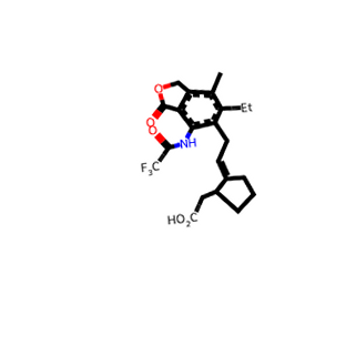 CCc1c(C)c2c(c(NC(=O)C(F)(F)F)c1C/C=C1\CCCC1CC(=O)O)C(=O)OC2